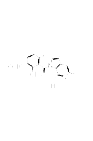 Cc1cn(C(=O)c2c(Cl)ccc(C=O)c2Cl)c2c(C)nc(C(F)(F)F)cc12